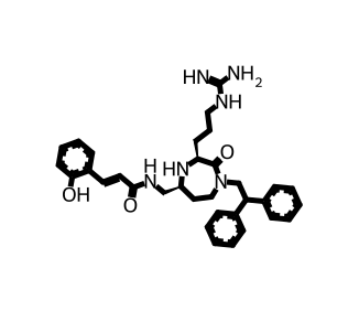 N=C(N)NCCC[C@@H]1N[C@H](CNC(=O)/C=C/c2ccccc2O)CCN(CC(c2ccccc2)c2ccccc2)C1=O